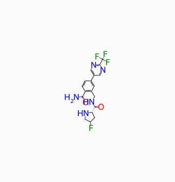 NC(=O)c1ccc(-c2cnc(C(F)(F)F)nc2)cc1CNC(=O)[C@@H]1C[C@@H](F)CN1